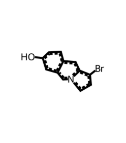 Oc1ccc2cc3c(Br)ccn3cc2c1